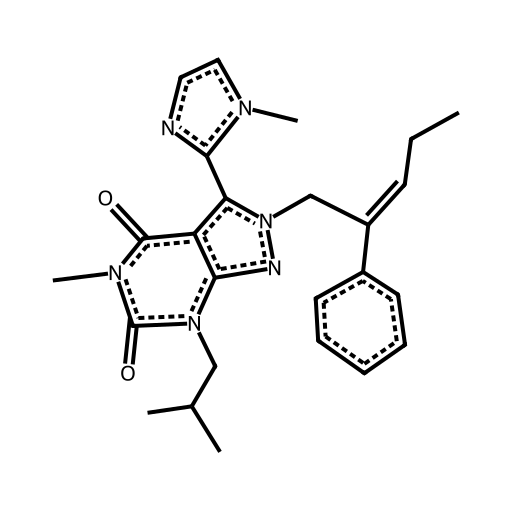 CC/C=C(\Cn1nc2c(c1-c1nccn1C)c(=O)n(C)c(=O)n2CC(C)C)c1ccccc1